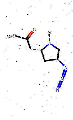 COC(=O)C[C@H]1C[C@H](N=[N+]=[N-])CN1C(C)=O